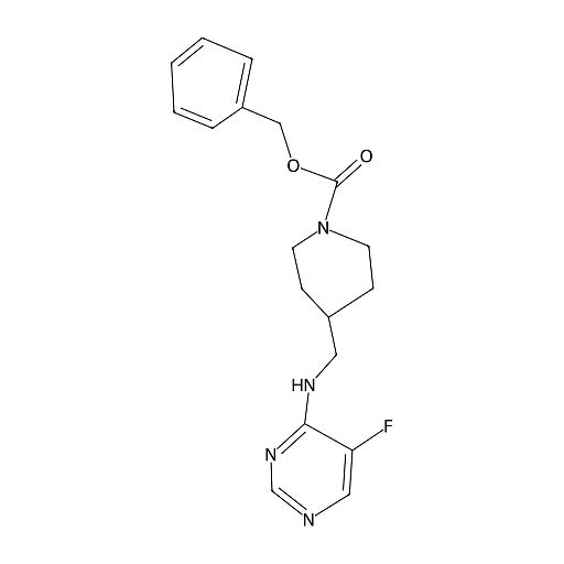 O=C(OCc1ccccc1)N1CCC(CNc2ncncc2F)CC1